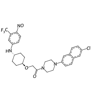 O=Nc1ccc(N[C@H]2CC[C@H](OCC(=O)N3CCN(c4ccc5cc(Cl)ccc5c4)CC3)CC2)cc1C(F)(F)F